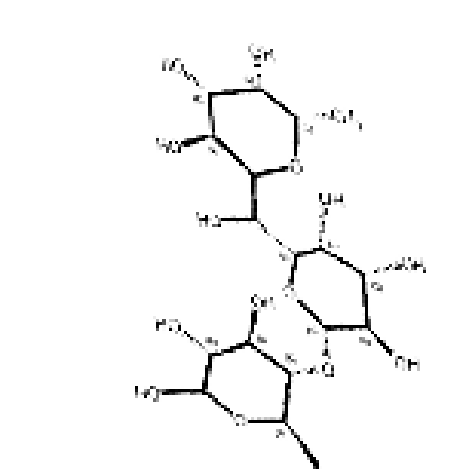 C[C@@H]1OC(C(O)[C@H]2O[C@@H](O[C@H]3[C@H](O)[C@@H](O)C(O)O[C@@H]3CO)[C@H](O)[C@@H](O)[C@H]2O)[C@@H](O)[C@H](O)[C@@H]1O